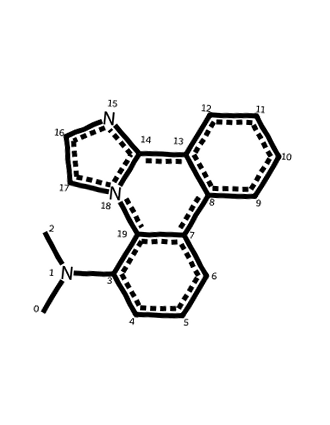 CN(C)c1cccc2c3ccccc3c3nccn3c12